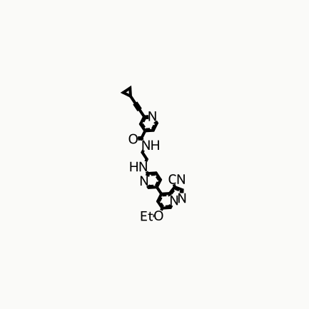 CCOc1cc(-c2ccc(NCCNC(=O)c3ccnc(C#CC4CC4)c3)nc2)c2c(C#N)cnn2c1